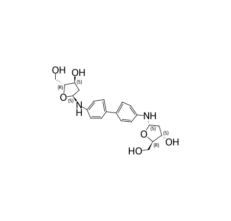 OC[C@H]1O[C@H](Nc2ccc(-c3ccc(N[C@@H]4C[C@H](O)[C@@H](CO)O4)cc3)cc2)C[C@@H]1O